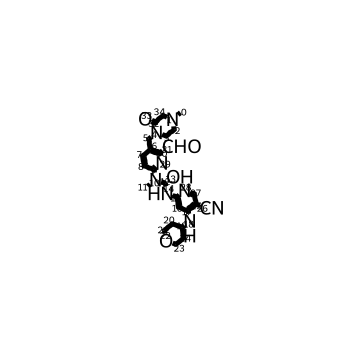 CN1CCN(Cc2ccc(N(C)C(O)Nc3cc(NC4CCOCC4)c(C#N)cn3)nc2C=O)C(=O)C1